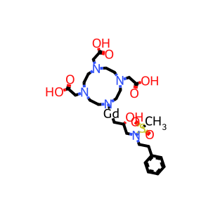 CS(=O)(=O)N(CCc1ccccc1)CC(O)[CH2][Gd][N]1CCN(CC(=O)O)CCN(CC(=O)O)CCN(CC(=O)O)CC1